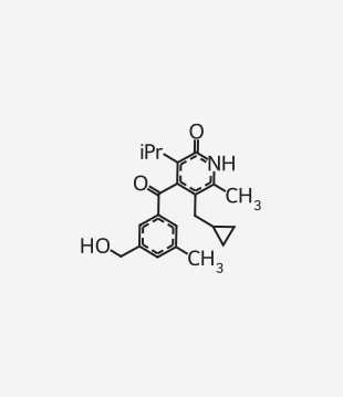 Cc1cc(CO)cc(C(=O)c2c(CC3CC3)c(C)[nH]c(=O)c2C(C)C)c1